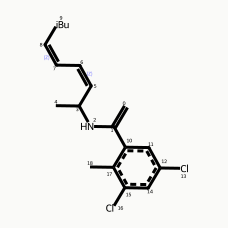 C=C(NC(C)/C=C\C=C/C(C)CC)c1cc(Cl)cc(Cl)c1C